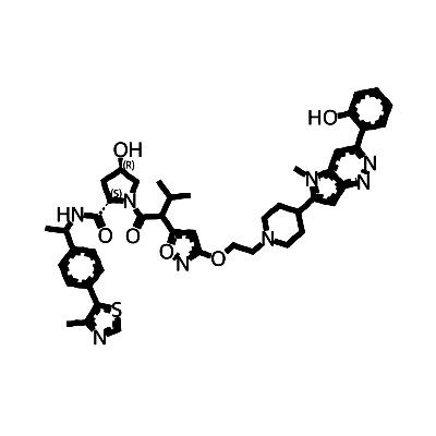 Cc1ncsc1-c1ccc(C(C)NC(=O)[C@@H]2C[C@@H](O)CN2C(=O)C(c2cc(OCCN3CCC(c4cc5nnc(-c6ccccc6O)cc5n4C)CC3)no2)C(C)C)cc1